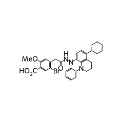 COc1cc(CC(=O)NN(c2ccc(C3CCCCC3)cc2)c2ccccc2N2CCCCC2)c(Br)cc1C(=O)O